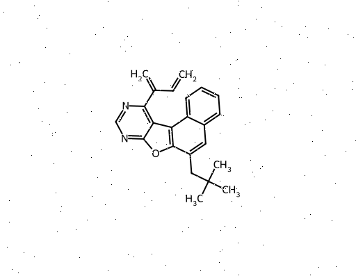 C=CC(=C)c1ncnc2oc3c(CC(C)(C)C)cc4ccccc4c3c12